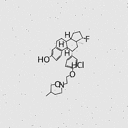 CC1CCN(CCOc2ccc([C@H]3C[C@]4(C)[C@H](F)CC[C@H]4[C@@H]4CCc5cc(O)ccc5[C@H]43)cc2)CC1.Cl